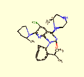 CC(C)c1ccccc1-n1c(=O)nc(N2CCNC[C@@H]2C)c2cc(Cl)c(N3CCCCC3C)nc21